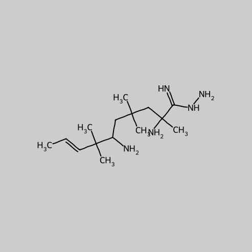 CC=CC(C)(C)C(N)CC(C)(C)CC(C)(N)C(=N)NN